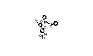 [2H]C[C@H]1O[C@@H](n2ccc(NC(C)=O)nc2=O)CC1OP(OCCSC(=O)c1ccccc1)N1CCCC1